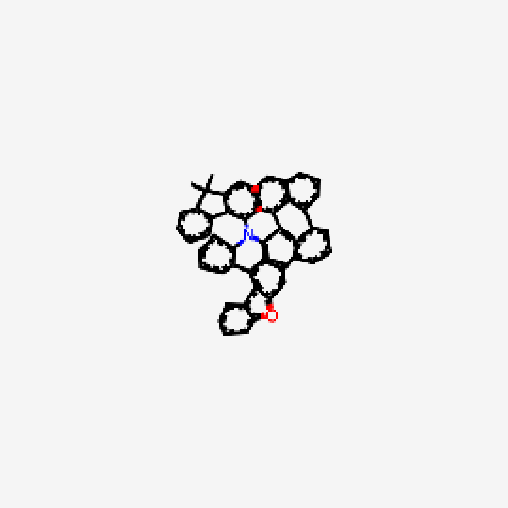 CC1(C)c2ccccc2-c2c(N(C3=CCCC=C3c3cccc4cccc(-c5ccccc5)c34)c3ccccc3-c3cccc4oc5ccccc5c34)cccc21